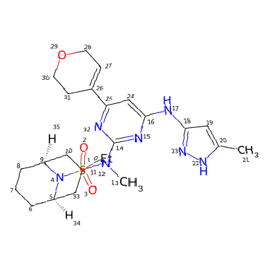 CCS(=O)(=O)N1[C@@H]2CCC[C@H]1CC(N(C)c1nc(Nc3cc(C)[nH]n3)cc(C3=CCOCC3)n1)C2